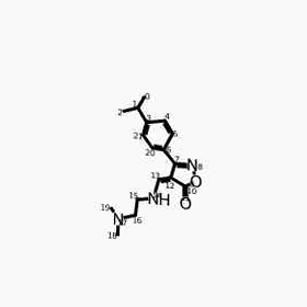 CC(C)c1ccc(C2=NOC(=O)C2=CNCCN(C)C)cc1